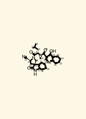 CC(C)C[C@@H](C(=O)N1C[C@]2(C[C@H]1C#N)C(=O)Nc1ccccc12)N(C)C(=O)c1cnc2ccccc2c1O